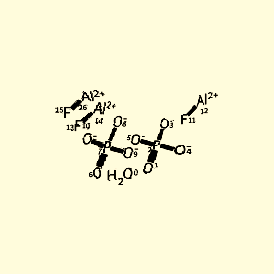 O.O=P([O-])([O-])[O-].O=P([O-])([O-])[O-].[F][Al+2].[F][Al+2].[F][Al+2]